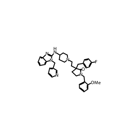 COc1ccccc1CN1CCC(CCN2CCC(Nc3nc4ccccc4n3Cc3cccnc3)CC2)(Cc2ccc(F)cc2)C1=O